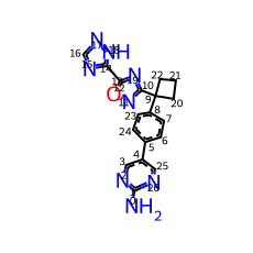 Nc1ncc(-c2ccc(C3(c4noc(-c5ncn[nH]5)n4)CCC3)cc2)cn1